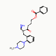 CN1CCN(c2ccccc2C[C@@H](C=N)C(=O)CCCOC(=O)c2ccccc2)CC1